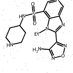 CCn1c(-c2nonc2N)nc2cncc(S(=O)(=O)NC3CCNCC3)c21